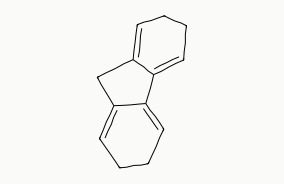 C1=C2CC3=CCCC=C3C2=CCC1